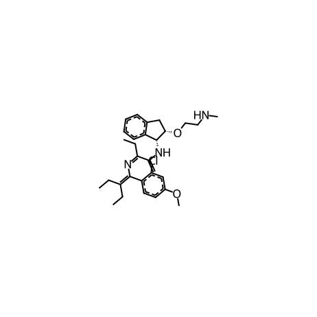 C=C(N[C@@H]1c2ccccc2C[C@@H]1OCCNC)/C(CC)=N\C(=C(CC)CC)c1ccc(OC)cc1Cl